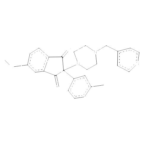 COc1ccc2c(c1)C(=O)C(c1cccc(C)c1)(N1CCN(Cc3ccncc3)CC1)C2=O